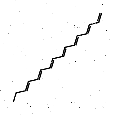 C=CC=CC=CC=CC=CC=CC=CCC